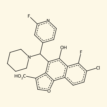 O=C(O)c1coc2c1c(C(c1ccnc(F)c1)N1CCCCC1)c(O)c1c(F)c(Cl)ccc12